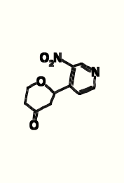 O=C1CCOC(c2ccncc2[N+](=O)[O-])C1